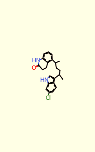 CC(CCC(C)c1c[nH]c2cc(Cl)ccc12)c1cccc2c1CCC(=O)N2